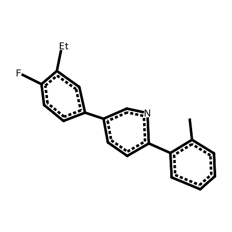 CCc1cc(-c2ccc(-c3ccccc3C)nc2)ccc1F